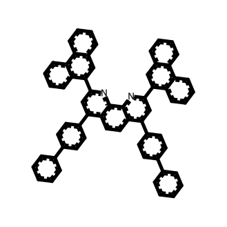 c1ccc(-c2ccc(-c3cc(-c4cc5ccccc5c5ccccc45)nc4c3ccc3c(-c5ccc(-c6ccccc6)cc5)cc(-c5cc6ccccc6c6ccccc56)nc34)cc2)cc1